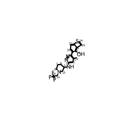 Cc1cc(NC2CCCN(CC(F)(F)F)C2)nnc1-c1ccc2sccc2c1O